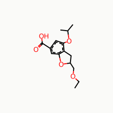 CCOCC1Cc2c(OC(C)C)cc(C(=O)O)cc2O1